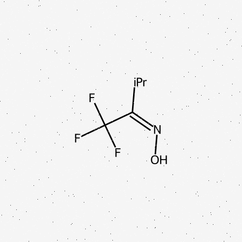 CC(C)C(=NO)C(F)(F)F